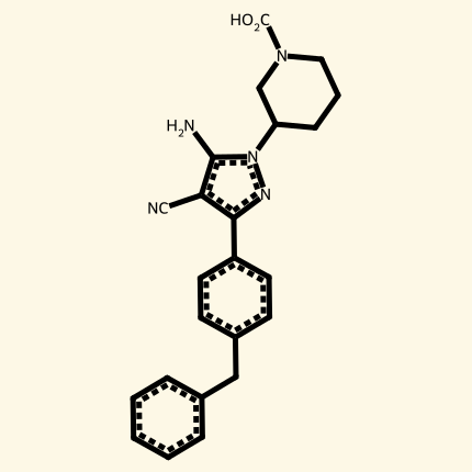 N#Cc1c(-c2ccc(Cc3ccccc3)cc2)nn(C2CCCN(C(=O)O)C2)c1N